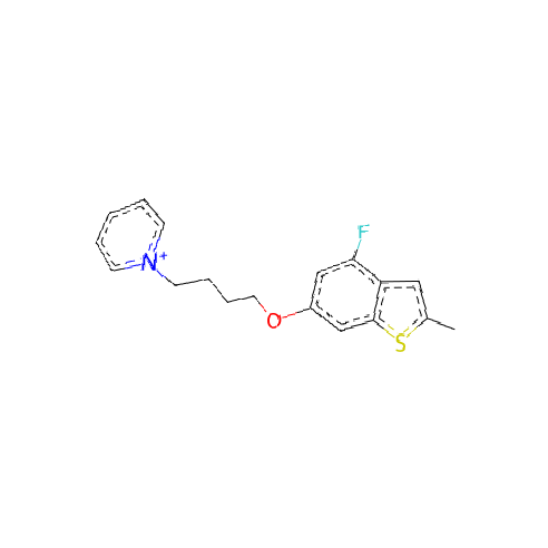 Cc1cc2c(F)cc(OCCCC[n+]3ccccc3)cc2s1